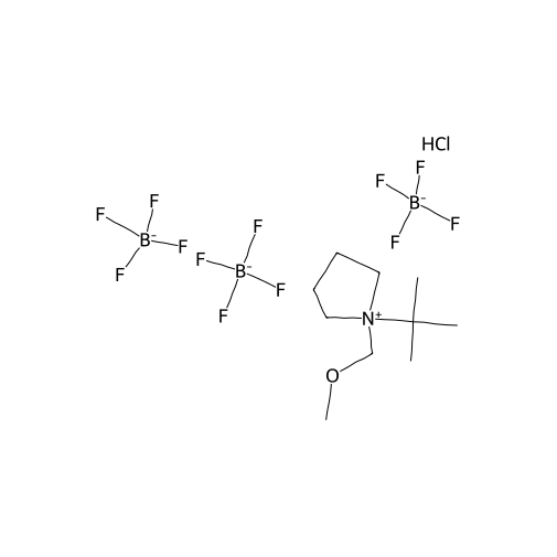 COC[N+]1(C(C)(C)C)CCCC1.Cl.F[B-](F)(F)F.F[B-](F)(F)F.F[B-](F)(F)F